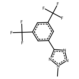 Cn1nnc(-c2cc(C(F)(F)F)cc(C(F)(F)F)c2)n1